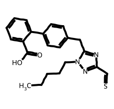 CCCCCn1nc(C=S)nc1Cc1ccc(-c2ccccc2C(=O)O)cc1